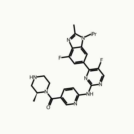 Cc1nc2c(F)cc(-c3nc(Nc4ccc(C(=O)N5CCNC[C@@H]5C)cn4)ncc3F)cc2n1C(C)C